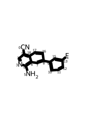 N#Cc1cnc(N)c2cc(-c3cccc(F)c3)ccc12